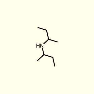 CCC(C)NC(C)CC